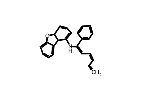 C=C/C=C\C=C(\NC1=CC=CC2Oc3ccccc3C12)c1ccccc1